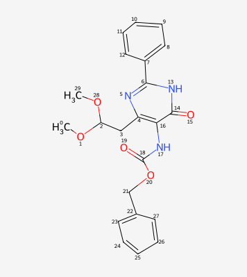 COC(Cc1nc(-c2ccccc2)[nH]c(=O)c1NC(=O)OCc1ccccc1)OC